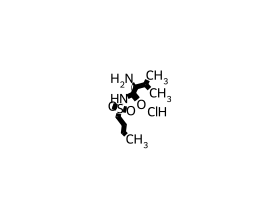 CCCCS(=O)(=O)NC(=O)[C@@H](N)C(C)C.Cl